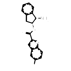 N[C@@H]1c2ccccc2C[C@@H]1NC(=O)c1cc2cc(Cl)ccc2[nH]1